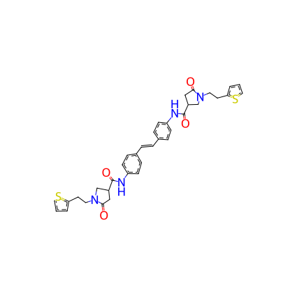 O=C(Nc1ccc(/C=C/c2ccc(NC(=O)C3CC(=O)N(CCc4cccs4)C3)cc2)cc1)C1CC(=O)N(CCc2cccs2)C1